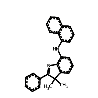 CC1(C)C(c2ccccc2)=Nc2c(Nc3cccc4ccccc34)cccc21